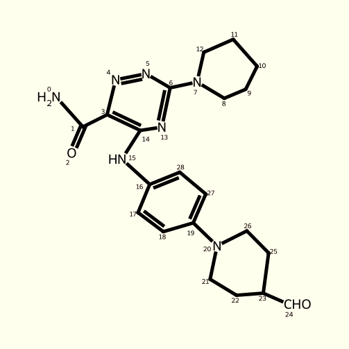 NC(=O)c1nnc(N2CCCCC2)nc1Nc1ccc(N2CCC(C=O)CC2)cc1